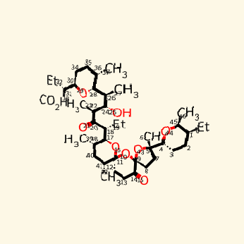 CC[C@H]1CC[C@H]([C@]2(C)CC[C@@]3(O[C@]4(CCC3=O)O[C@H]([C@@H](CC)C(=O)[C@@H](C)[C@@H](O)[C@H](C)[C@@H]3O[C@@H]([C@@H](CC)C(=O)O)CC[C@@H]3C)[C@@H](C)C[C@H]4C)O2)O[C@H]1C